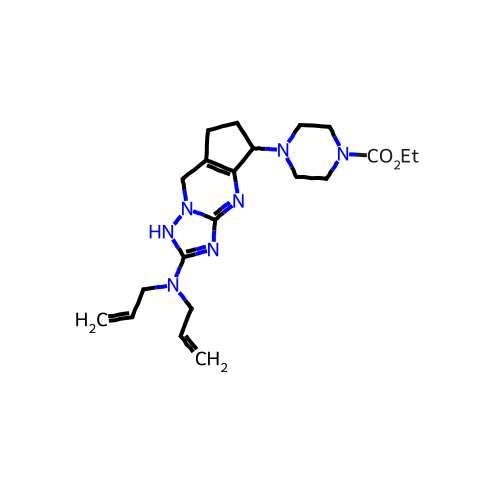 C=CCN(CC=C)C1=NC2=NC3=C(CCC3N3CCN(C(=O)OCC)CC3)CN2N1